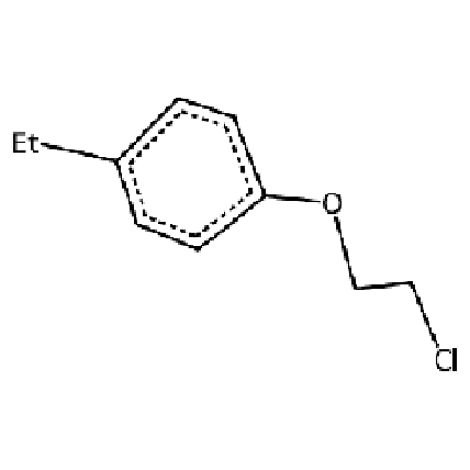 CCc1ccc(OCCCl)cc1